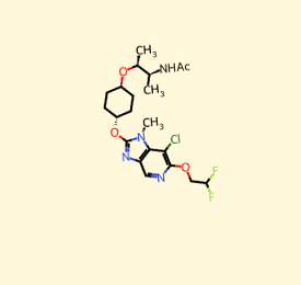 CC(=O)N[C@@H](C)[C@H](C)O[C@H]1CC[C@H](Oc2nc3cnc(OCC(F)F)c(Cl)c3n2C)CC1